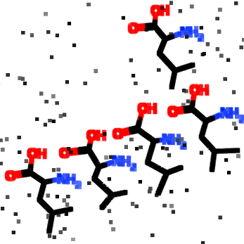 CC(C)CC(N)C(=O)O.CC(C)CC(N)C(=O)O.CC(C)CC(N)C(=O)O.CC(C)CC(N)C(=O)O.CC(C)CC(N)C(=O)O